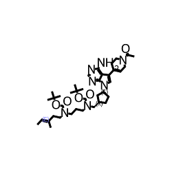 C/C=C(\C)CCN(CCCN(C[C@@H]1CC[C@H](n2cc(C3=CCN(C(C)=O)CC3)c3c(N)ncnc32)C1)C(=O)OC(C)(C)C)C(=O)OC(C)(C)C